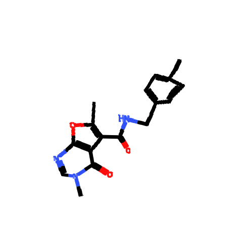 Cc1ccc(CNC(=O)c2c(C)oc3ncn(C)c(=O)c23)cc1